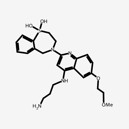 COCCOc1ccc2nc(N3CCS(O)(O)c4ccccc4C3)cc(NCCCN)c2c1